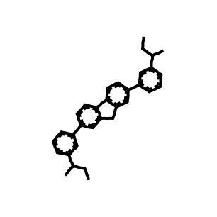 CCC(C)c1cccc(-c2ccc3c(c2)Cc2cc(-c4cccc(C(C)CC)c4)ccc2-3)c1